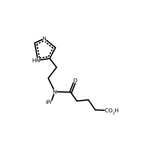 CC(C)N(CCc1cnc[nH]1)C(=O)CCCC(=O)O